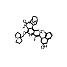 CN1C(=O)C2C3CCC(CC2c2c1c(OCC14CCCN1CCC4)nc1c(F)c(-c4cc(O)cc5cccc(Cl)c45)ncc21)N3